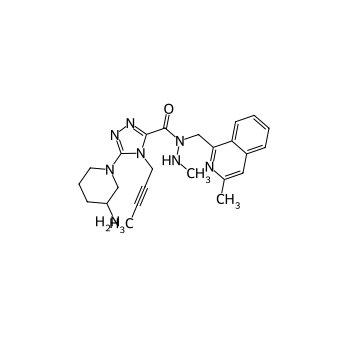 CC#CCn1c(C(=O)N(Cc2nc(C)cc3ccccc23)NC)nnc1N1CCCC(N)C1